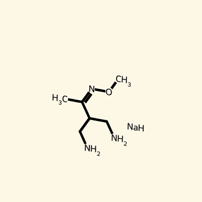 CON=C(C)C(CN)CN.[NaH]